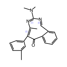 CC1=C(/c2cccc(C)c2)C(=O)c2ccccc2/C=N/C(N(C)C)=N\1